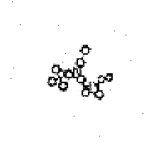 C1=CC2(C=C1)C=CC(Nc1ccccc1-c1cccc(-c3ccc4c(c3)c3cc5c(cc3n4-c3ccc(-c4ccccc4)cc3)-c3ccccc3C5(c3ccccc3)c3ccccc3)c1)=C2